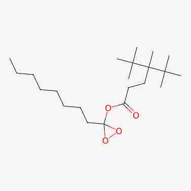 CCCCCCCCC1(OC(=O)CCC(C)(C(C)(C)C)C(C)(C)C)OO1